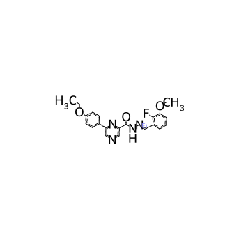 CCOc1ccc(-c2cncc(C(=O)N/N=C/c3cccc(OC)c3F)n2)cc1